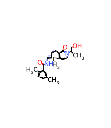 Cc1ccc(C)c(C(=O)N/C=C/C=C\c2c(C)ccn(C(C)CO)c2=O)c1